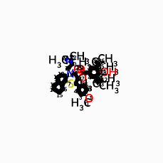 COc1ccc(C2Sc3c(ccc4ccccc34)N(CCN(C)C)C(=O)C2OC(=O)c2cc(C(C)(C)C)c(O)c(C(C)(C)C)c2)cc1